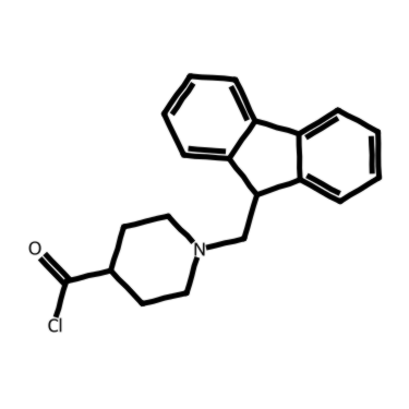 O=C(Cl)C1CCN(CC2c3ccccc3-c3ccccc32)CC1